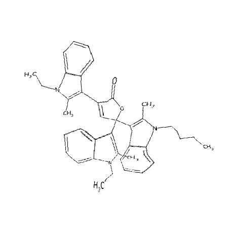 CCCCn1c(C)c(C2(c3c(C)n(CC)c4ccccc34)C=C(c3c(C)n(CC)c4ccccc34)C(=O)O2)c2ccccc21